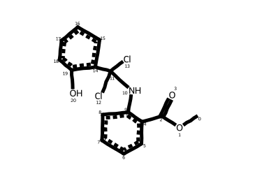 COC(=O)c1ccccc1NC(Cl)(Cl)c1ccccc1O